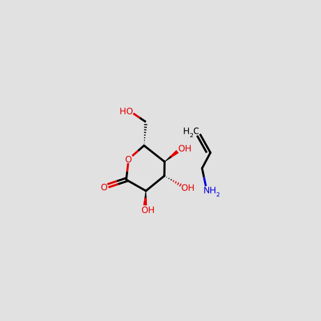 C=CCN.O=C1O[C@H](CO)[C@@H](O)[C@H](O)[C@H]1O